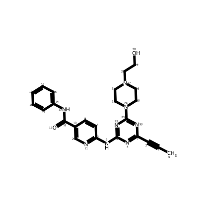 CC#Cc1nc(Nc2ccc(C(=O)Nc3ccccc3)cn2)nc(N2CCN(CCO)CC2)n1